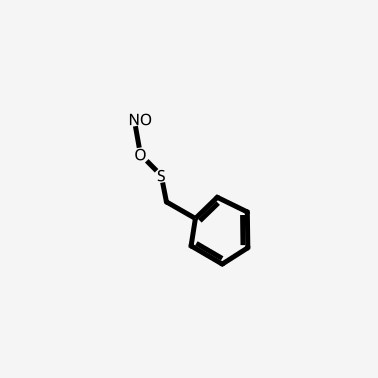 O=NOSCc1ccccc1